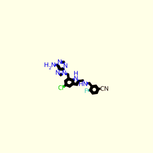 N#Cc1ccc(F)c(CNCc2cc3cc(Cl)cc(Cn4cnc5c(N)ncnc54)c3[nH]2)c1